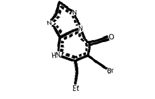 CCc1[nH]c2ncnn2c(=O)c1Br